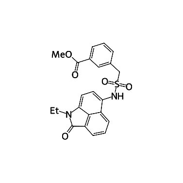 CCN1C(=O)c2cccc3c(NS(=O)(=O)Cc4cccc(C(=O)OC)c4)ccc1c23